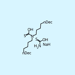 CCCCCCCCCCCCCCN(CCCCCCCCCCCCCC)C(O)=S.NC(O)=S.[NaH]